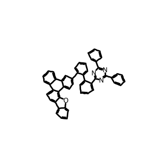 c1ccc(-c2nc(-c3ccccc3)nc(-c3ccccc3-c3ccccc3-c3ccc4c(c3)c3ccccc3c3ccc5c6ccccc6oc5c34)n2)cc1